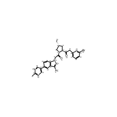 CC(=O)c1nn(CC(=O)N2C[C@H](F)C[C@H]2C(=O)Cc2cccc(Br)n2)c2ccc(-c3cnc(C)nc3)cc12